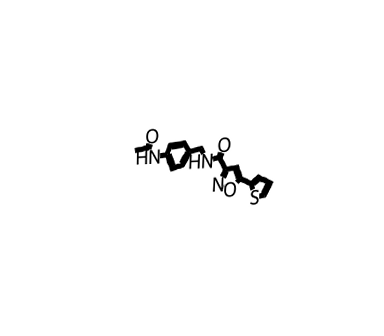 CC(=O)Nc1ccc(CNC(=O)c2cc(-c3cccs3)on2)cc1